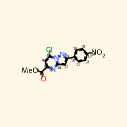 COC(=O)c1cc(Cl)n2nc(-c3ccc([N+](=O)[O-])cc3)cc2n1